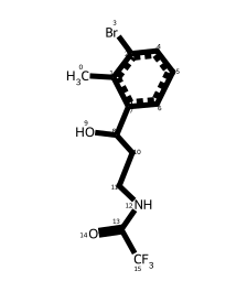 Cc1c(Br)cccc1C(O)CCNC(=O)C(F)(F)F